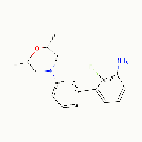 C[C@@H]1CN(c2cccc(-c3cccc(N)c3F)c2)C[C@H](C)O1